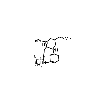 C=C(C)c1[nH]c2cccc3c2c1C[C@@H]1[C@@H]3CC(CSC)CN1CCC